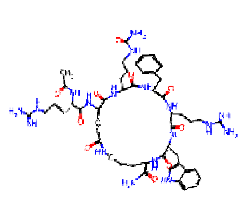 CC(=O)N[C@@H](CCCNC(=N)N)C(=O)NC1CCC(=O)NCCCC(C(N)=O)NC(=O)[C@H](Cc2c[nH]c3ccccc23)NC(=O)[C@H](CCCNC(=N)N)NC(=O)C(Cc2ccccc2)NC(=O)[C@H](CCCNC(N)=O)NC1=O